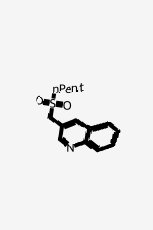 CCCCCS(=O)(=O)Cc1cnc2ccccc2c1